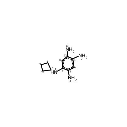 Nc1cc(N)c(NC2CCC2)cc1N